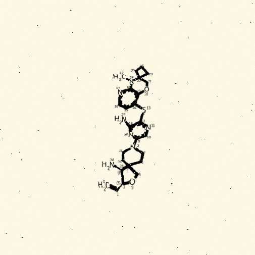 C=C[C@@H]1OCC2(CCN(c3cnc(Sc4ccnc5c4OCC4(CCC4)N5C)c(N)n3)CC2)[C@@H]1N